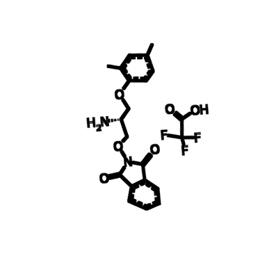 Cc1ccc(OC[C@@H](N)CON2C(=O)c3ccccc3C2=O)c(C)c1.O=C(O)C(F)(F)F